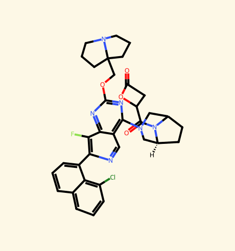 O=C1CC(C(=O)N2C3CC[C@H]2CN(c2nc(OCC45CCCN4CCC5)nc4c(F)c(-c5cccc6cccc(Cl)c56)ncc24)C3)O1